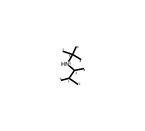 CC(C)C(C)NC(C)(C)C